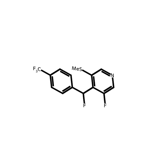 CSc1cncc(F)c1C(F)c1ccc(C(F)(F)F)cc1